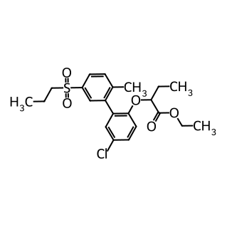 CCCS(=O)(=O)c1ccc(C)c(-c2cc(Cl)ccc2OC(CC)C(=O)OCC)c1